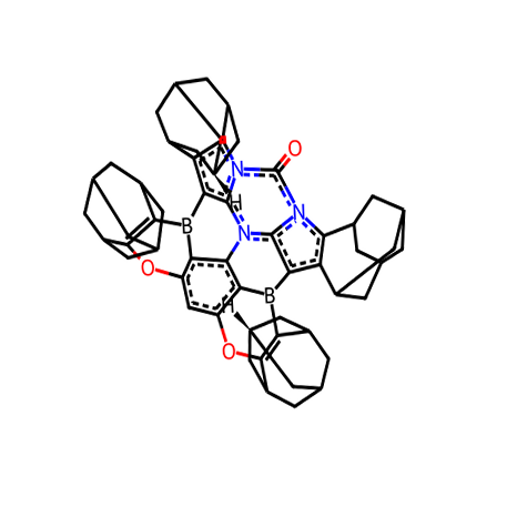 O=c1n2c3c(c4c2n2c5c(c6c(n15)C1CC5CC6C[C@H](C5)C1)B1C5=C(Oc6cc7c(c-2c61)B4C1=C(O7)C2CC4CC1C[C@H](C4)C2)C1CC2CC(C1)CC5C2)C1CC2CC(C1)CC3C2